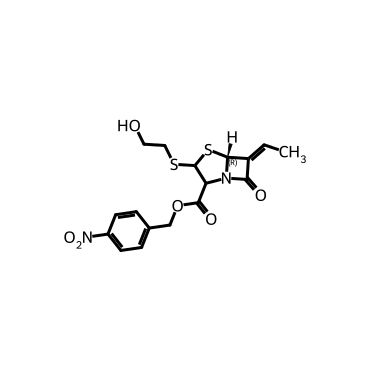 CC=C1C(=O)N2C(C(=O)OCc3ccc([N+](=O)[O-])cc3)C(SCCO)S[C@H]12